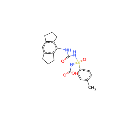 Cc1ccc(S(=O)(=NC(=O)O)NC(=O)Nc2c3c(cc4c2CCC4)CCC3)cc1